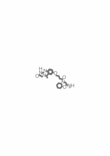 CNC(=O)CN(C(=O)CCCOc1ccc2c(c1)C(C)N1CC(=O)NC1=N2)C1CCCCC1